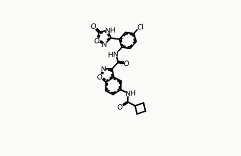 O=C(Nc1ccc(Cl)cc1-c1noc(=O)[nH]1)c1noc2ccc(NC(=O)C3CCC3)cc12